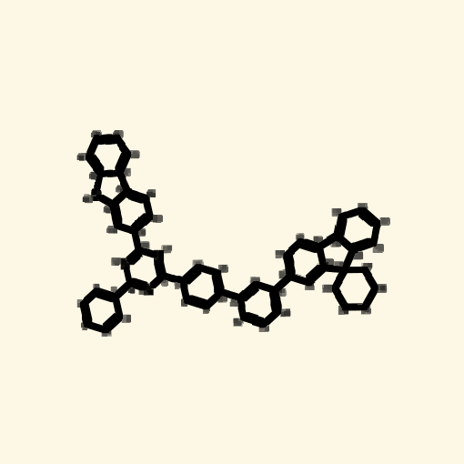 c1ccc(-c2nc(-c3ccc(-c4cccc(-c5ccc6c(c5)C5(CCCCC5)c5ccccc5-6)c4)cc3)nc(-c3ccc4c(c3)oc3ccccc34)n2)cc1